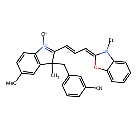 CCN1/C(=C/C=C/C2=[N+](C)c3ccc(OC)cc3C2(C)Cc2cccc(C#N)c2)Oc2ccccc21